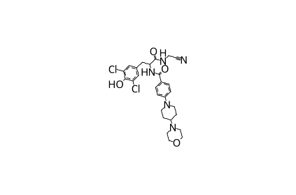 N#CCNC(=O)C(Cc1cc(Cl)c(O)c(Cl)c1)NC(=O)c1ccc(N2CCC(N3CCOCC3)CC2)cc1